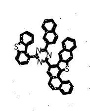 c1ccc2cc(-c3nc(-c4cccc5sc6ccccc6c45)nc(-c4cc5ccc6ccccc6c5c5sc6cc7ccccc7cc6c45)n3)ccc2c1